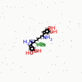 Br.Br.NC(CCCCCCC(N)C1Cc2cc(O)c(O)cc21)C1Cc2cc(O)c(O)cc21